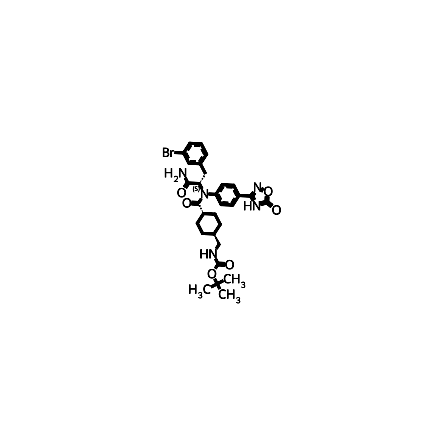 CC(C)(C)OC(=O)NC[C@H]1CC[C@H](C(=O)N(c2ccc(-c3noc(=O)[nH]3)cc2)[C@@H](Cc2cccc(Br)c2)C(N)=O)CC1